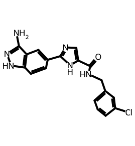 Nc1n[nH]c2ccc(-c3ncc(C(=O)NCc4cccc(Cl)c4)[nH]3)cc12